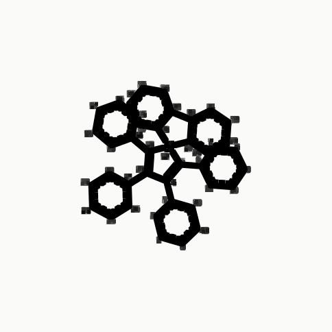 c1ccc(C2=C(c3ccccc3)[Si]3(C(c4ccccc4)=C2c2ccccc2)c2ccccc2-c2ccccc23)cc1